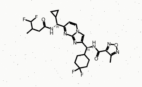 Cc1nonc1C(=O)N[C@H](c1cn2ccc([C@H](NC(=O)CC(C)C(F)F)C3CC3)nc2n1)C1CCC(F)(F)CC1